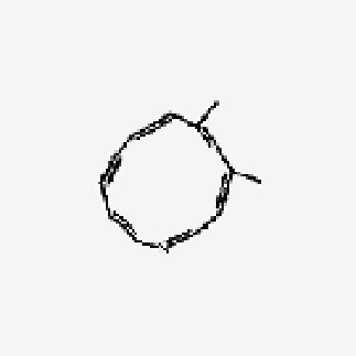 CC1=C/C=N\C=C/C=C\C=C/C(C)=C\1